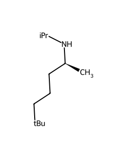 CC(C)N[C@@H](C)CCCC(C)(C)C